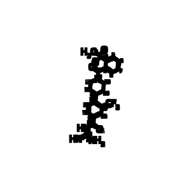 CS(=O)(=O)c1ccccc1C(=O)N1CCC(c2ccc(C(=O)NC(=N)N)cc2C(F)(F)F)CC1